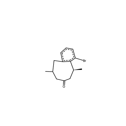 CC1CC(=O)C[C@H](C)c2c(Br)cccc2C1